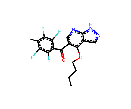 CCCCOc1c(C(=O)c2c(F)c(F)c(C)c(F)c2F)cnc2[nH]ncc12